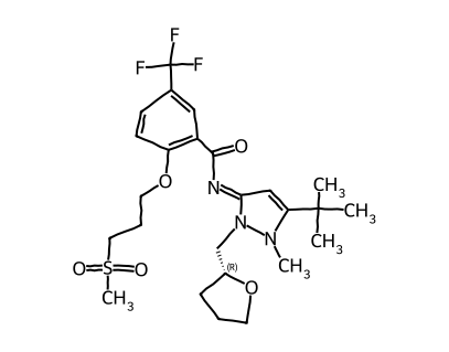 Cn1c(C(C)(C)C)cc(=NC(=O)c2cc(C(F)(F)F)ccc2OCCCS(C)(=O)=O)n1C[C@H]1CCCO1